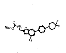 CC(C)(C)OC(=O)NCc1cc2c(Cl)cc(-c3ccc(N4CCC(F)(F)CC4)cc3)cc2o1